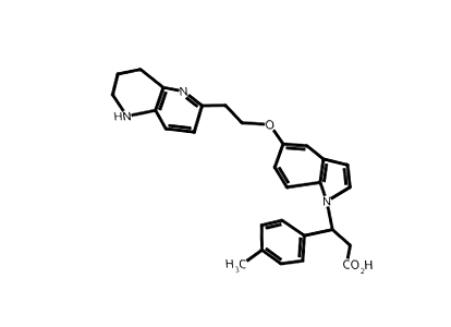 Cc1ccc(C(CC(=O)O)n2ccc3cc(OCCc4ccc5c(n4)CCCN5)ccc32)cc1